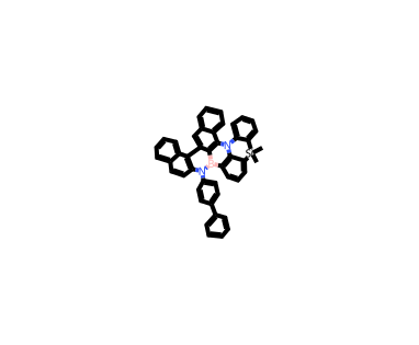 C[Si]1(C)c2ccccc2N2c3c(cccc31)B1c3c(cc4ccccc4c32)-c2c(ccc3ccccc23)N1c1ccc(-c2ccccc2)cc1